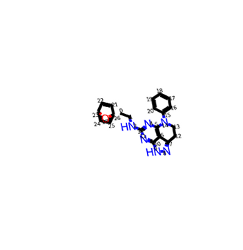 CCNc1nc2c3c(n[nH]c3n1)CCN2c1ccccc1.c1cc2ccc1o2